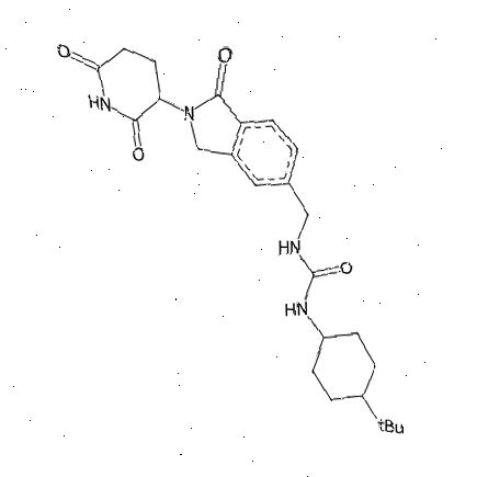 CC(C)(C)C1CCC(NC(=O)NCc2ccc3c(c2)CN(C2CCC(=O)NC2=O)C3=O)CC1